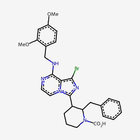 COc1ccc(CNc2nccn3c(C4CCCN(C(=O)O)C4Cc4ccccc4)nc(Br)c23)c(OC)c1